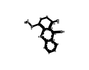 CCCOC1=c2sc3ccccc3c(=O)c2=C(Cl)CC1